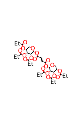 CCC(=O)O[C@H]1[C@H](OC(=O)/C=C/C(=O)O[C@@H]2OC[C@@H](OC(=O)CC)[C@@H](OC(=O)CC)[C@H]2OC(=O)CC)OC[C@@H](OC(=O)CC)[C@H]1OC(=O)CC